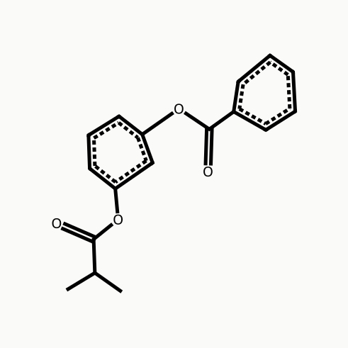 CC(C)C(=O)Oc1cccc(OC(=O)c2ccccc2)c1